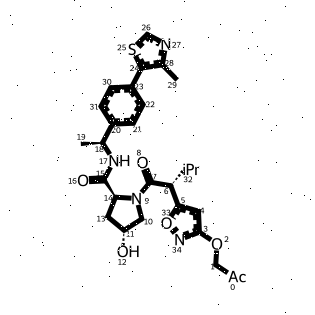 CC(=O)COc1cc([C@H](C(=O)N2C[C@H](O)C[C@H]2C(=O)N[C@@H](C)c2ccc(-c3scnc3C)cc2)C(C)C)on1